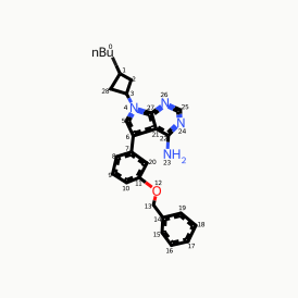 [CH2]CCCC1CC(n2cc(-c3cccc(OCc4ccccc4)c3)c3c(N)ncnc32)C1